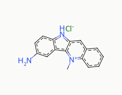 C[n+]1c2ccccc2cc2[nH]c3ccc(N)cc3c21.[Cl-]